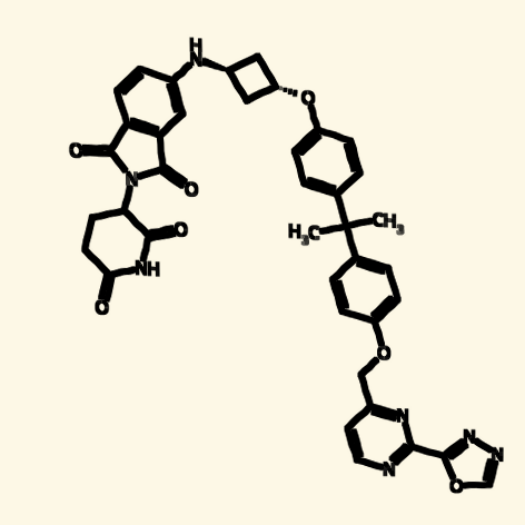 CC(C)(c1ccc(OCc2ccnc(-c3nnco3)n2)cc1)c1ccc(O[C@H]2C[C@H](Nc3ccc4c(c3)C(=O)N(C3CCC(=O)NC3=O)C4=O)C2)cc1